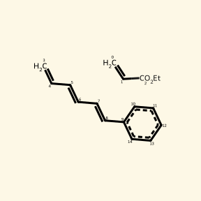 C=CC(=O)OCC.C=CC=CC=Cc1ccccc1